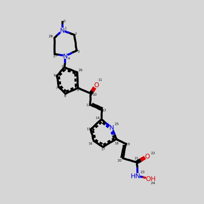 CN1CCN(c2cccc(C(=O)/C=C/c3cccc(/C=C/C(=O)NO)n3)c2)CC1